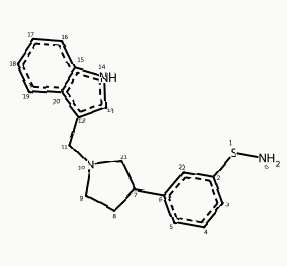 NSc1cccc(C2CCN(Cc3c[nH]c4ccccc34)C2)c1